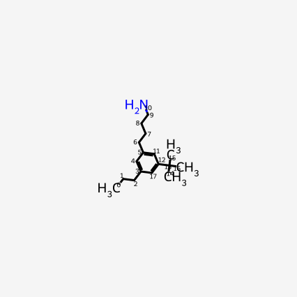 CCCc1cc(CCCCN)cc(C(C)(C)C)c1